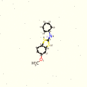 COc1ccc2s/c(=N\c3ccccc3)sc2c1